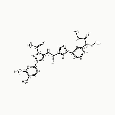 Cc1ccc(-n2cc(NC(=O)c3coc(-c4ccnc(N(CC(F)(F)F)C(=O)OC(C)(C)C)c4)n3)c(C(N)=O)n2)cc1C(=O)O